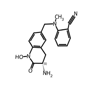 CN(Cc1ccc2c(c1)C[C@H](N)C(=O)N2O)c1ccccc1C#N